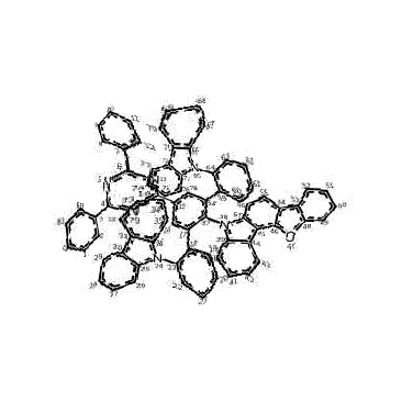 c1ccc(-c2nc(-c3ccccc3)nc(-c3cc(-c4ccccc4-n4c5ccccc5c5ccccc54)c(-n4c5ccccc5c5c6oc7ccccc7c6ccc54)c(-c4ccccc4-n4c5ccccc5c5ccccc54)c3)n2)cc1